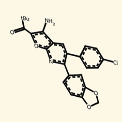 CC(C)(C)C(=O)c1oc2nc(-c3ccc4c(c3)OCO4)c(-c3ccc(Cl)cc3)cc2c1N